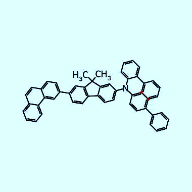 CC1(C)c2cc(-c3ccc4ccc5ccccc5c4c3)ccc2-c2ccc(N(c3ccc(-c4ccccc4)cc3)c3ccccc3-c3ccccc3)cc21